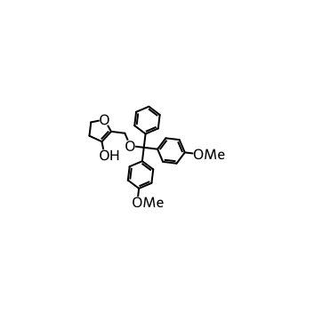 COc1ccc(C(OCC2=C(O)CCO2)(c2ccccc2)c2ccc(OC)cc2)cc1